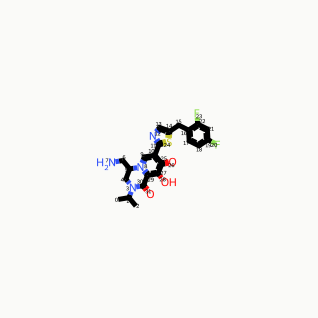 CC(C)N1CC(CN)n2cc(-c3ncc(Cc4ccc(F)cc4F)s3)c(=O)c(O)c2C1=O